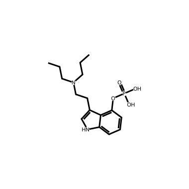 CCCN(CCC)CCc1c[nH]c2cccc(OP(=O)(O)O)c12